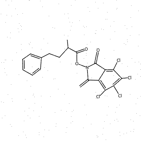 C=C1c2c(Cl)c(Cl)c(Cl)c(Cl)c2C(=O)N1OC(=O)C(C)CCc1ccccc1